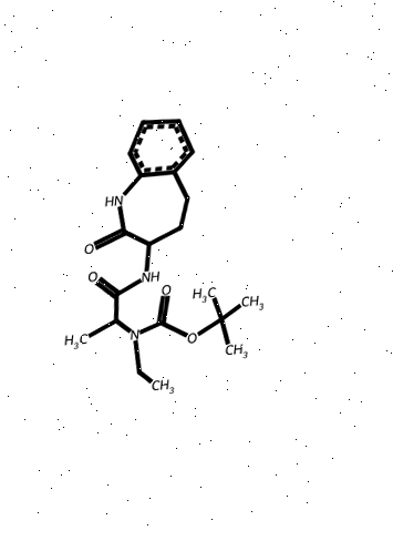 CCN(C(=O)OC(C)(C)C)C(C)C(=O)NC1CCc2ccccc2NC1=O